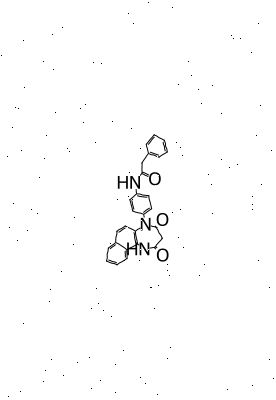 O=C(Cc1ccccc1)Nc1ccc(N2C(=O)CC(=O)Nc3c2ccc2ccccc32)cc1